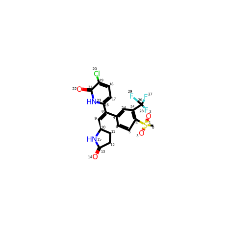 CS(=O)(=O)c1ccc(/C(=C\[C@H]2CCC(=O)N2)c2ccc(Cl)c(=O)[nH]2)cc1C(F)(F)F